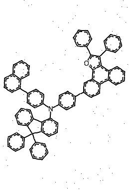 c1ccc(-c2oc3c4cc(-c5ccc(N(c6ccc(-c7cccc8ccccc78)cc6)c6cccc7c6-c6ccccc6C7(c6ccccc6)c6ccccc6)cc5)ccc4c4ccccc4c3c2-c2ccccc2)cc1